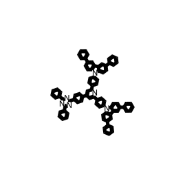 c1ccc(-c2ccc3c(c2)c2cc(-c4ccccc4)ccc2n3-c2ccc(-c3cc(-c4ccc(-c5nc(-c6ccccc6)nc(-c6ccccc6)n5)cc4)cc(-c4ccc(-n5c6ccc(-c7ccccc7)cc6c6cc(-c7ccccc7)ccc65)cc4)n3)cc2)cc1